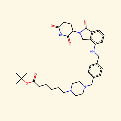 CC(C)(C)OC(=O)CCCCCN1CCN(Cc2ccc(CNc3cccc4c3CN(C3CCC(=O)NC3=O)C4=O)cc2)CC1